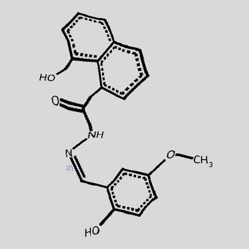 COc1ccc(O)c(/C=N\NC(=O)c2cccc3cccc(O)c23)c1